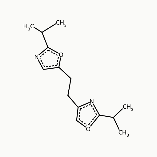 CC(C)c1nc(CCc2cnc(C(C)C)o2)co1